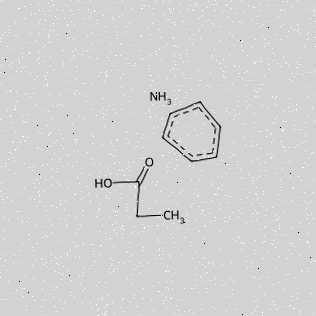 CCC(=O)O.N.c1ccccc1